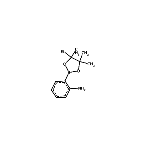 CCC1(C)OB(c2ccccc2N)OC1(C)C